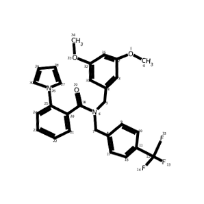 COc1cc(CN(Cc2ccc(C(F)(F)F)cc2)C(=O)c2ccccc2-n2cccc2)cc(OC)c1